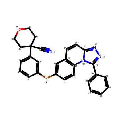 N#CC1(c2cccc(Sc3ccc4c(ccc5nnc(-c6ccccc6)n54)c3)c2)CCOCC1